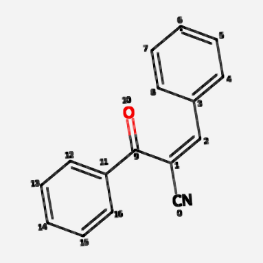 N#CC(=Cc1cc[c]cc1)C(=O)c1ccccc1